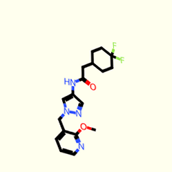 COc1ncccc1Cn1cc(NC(=O)CC2CCC(F)(F)CC2)cn1